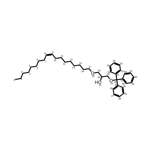 CCCCCCCC/C=C\CCCCCCCCOCC(O)COC(c1ccccc1)(c1ccccc1)c1ccccc1